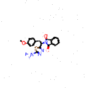 COc1ccc(CC(c2nnc(N)s2)N2C(=O)c3ccccc3C2=O)cc1